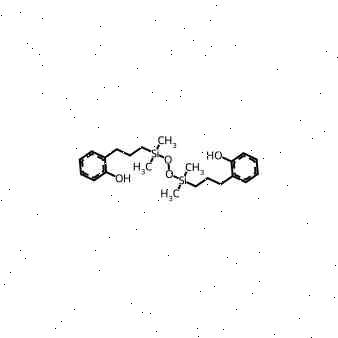 C[Si](C)(CCCc1ccccc1O)OO[Si](C)(C)CCCc1ccccc1O